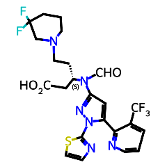 O=CN(c1cc(-c2ncccc2C(F)(F)F)n(-c2nccs2)n1)[C@@H](CCN1CCCC(F)(F)C1)CC(=O)O